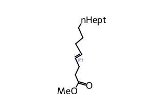 CCCCCCCCCC/C=C/CCC(=O)OC